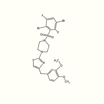 COc1ccc(Cc2csc(N3CCN(S(=O)(=O)c4c(F)c(Br)cc(F)c4Br)CC3)n2)cc1OC